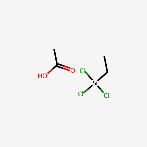 CC(=O)O.CC[Si](Cl)(Cl)Cl